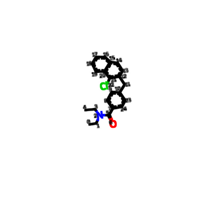 CCN(CC)C(=O)c1ccc(Cc2ccc3ccccc3c2Cl)cc1